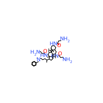 CC(CCCN(C)Cc1ccccc1)C1CC[C@H]2C3[C@H](NC(=O)CCN)CC4CC(NC(=O)CCN)CCC4(C)[C@H]3C[C@H](NC(=O)CCN)C12C